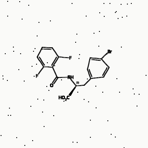 O=C(N[C@@H](Cc1ccc(Br)cc1)C(=O)O)c1c(F)cccc1F